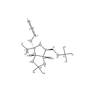 C[SiH](C)[C@@]1(ON=[N+]=[N-])O[C@@H](COC(C)(C)C)[C@@H]2OC(C)(C)O[C@@H]21